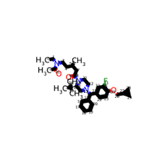 CCN(CCC(C)CC(=O)N1CCN(C(c2ccccc2)c2ccc(OCC3CC3)c(F)c2)C[C@@H]1C(C)(C)C)C(C)=O